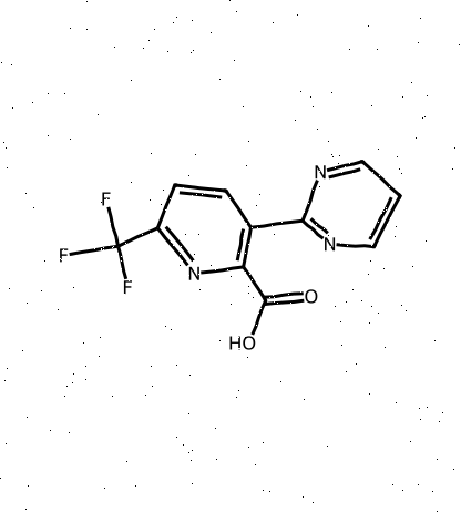 O=C(O)c1nc(C(F)(F)F)ccc1-c1ncccn1